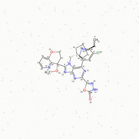 C=C[C@H]1CC[C@H](Cn2c(C3(OC)CCOc4cccnc43)nc3nc(-c4n[nH]c(=O)o4)nc(-c4cncc(Cl)c4)c32)CC1